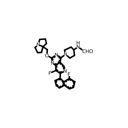 O=CNC1CCN(c2nc(OCC34CCCN3CCC4)nc3c(F)c(-c4cccc5cccc(F)c45)ncc23)CC1